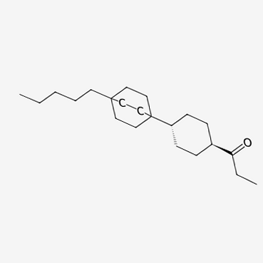 CCCCCC12CCC([C@H]3CC[C@H](C(=O)CC)CC3)(CC1)CC2